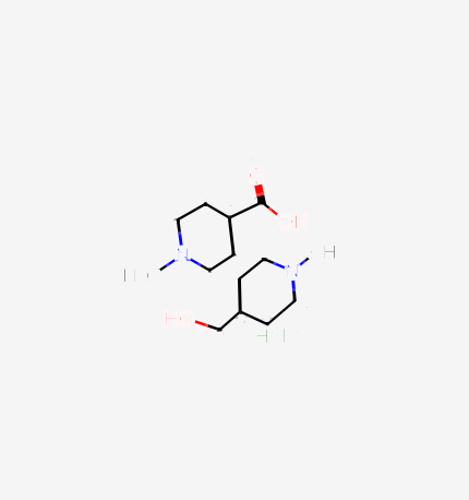 CN1CCC(C(=O)O)CC1.CN1CCC(CO)CC1.Cl